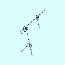 CCCCCCCCOC(CCCCCCCCCC=CC(OCCCCC)OC(C=CCCCCCCCCCC(OCCCCCCCC)OCCCCCCCC)OCCCCC)OCCCCCCCC